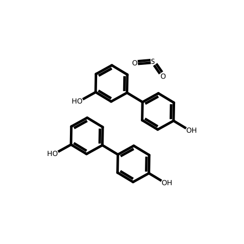 O=S=O.Oc1ccc(-c2cccc(O)c2)cc1.Oc1ccc(-c2cccc(O)c2)cc1